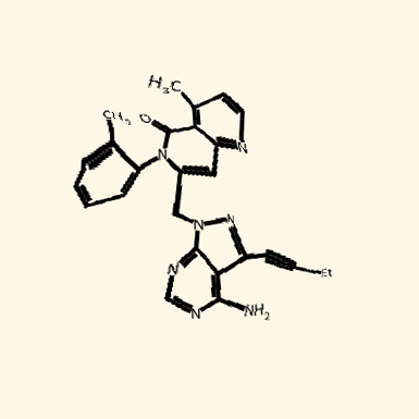 CCC#Cc1nn(Cc2cc3nccc(C)c3c(=O)n2-c2ccccc2C)c2ncnc(N)c12